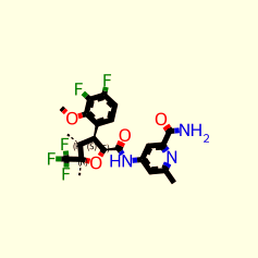 COc1c([C@H]2[C@@H](C(=O)Nc3cc(C)nc(C(N)=O)c3)O[C@@](C)(C(F)(F)F)[C@@H]2C)ccc(F)c1F